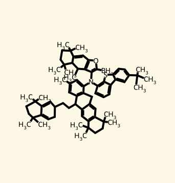 Bc1oc2c(c1N(c1cc(C)cc3c1Cc1cc4c(cc1C3CCC1C=C3C(=CC1)C(C)(C)CCC3(C)C)C(C)(C)CCC4(C)C)c1cccc3c1sc1ccc(C(C)(C)C)cc13)C(C)C1C(=C2)C(C)(C)CCC1(C)C